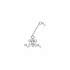 CCCCCCCCCCc1ccc(N2C(=O)c3c(C)sc(C)c3C2=O)cc1